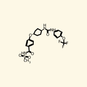 CS(=O)(=O)NC(=O)c1ccc(O[C@H]2CC[C@H](NC(=O)Nc3ccc(OC(F)(F)F)cc3)CC2)cc1